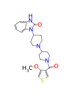 COc1cscc1C(=O)N1CCC(N2CCC(n3c(=O)[nH]c4ccccc43)CC2)CC1